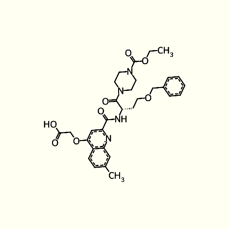 CCOC(=O)N1CCN(C(=O)[C@H](CCOCc2ccccc2)NC(=O)c2cc(OCC(=O)O)c3ccc(C)cc3n2)CC1